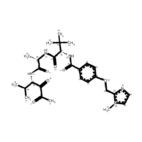 CC(=O)C(=O)[C@@H](NC(=O)[C@H](C)NC(=O)[C@@H](NC(=O)c1ccc(OCc2nccn2C)cc1)C(C)(C)C)C(C)C